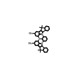 CC(C)(C)c1cc2c3c(c1)c1c(n3-c3cccc4c3B2c2cc(C(C)(C)C)cc3c5c(n-4c23)-c2ccccc2C5(C)C)-c2ccccc2C1(C)C